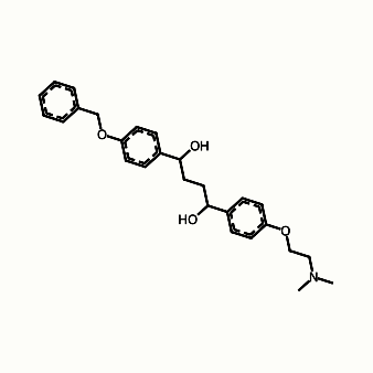 CN(C)CCOc1ccc(C(O)CCC(O)c2ccc(OCc3ccccc3)cc2)cc1